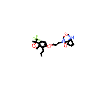 CCCc1c(OCCCCN2COCNC3(CCCC3)C2=O)ccc2c1COC2(C)C(F)(F)F